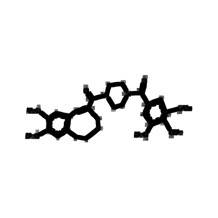 COc1cc2c(cc1OC)CCCCC(C(=O)N1CCN(C(=O)c3cc(OC)c(OC)c(OC)c3)CC1)=C2